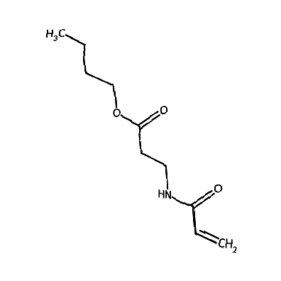 C=CC(=O)NCCC(=O)OCCCC